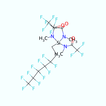 CN(C(=O)C(F)(F)F)[Si](CCC(F)(F)C(F)(F)C(F)(F)C(F)(F)C(F)(F)F)(N(C)C(=O)C(F)(F)F)N(C)C(=O)C(F)(F)F